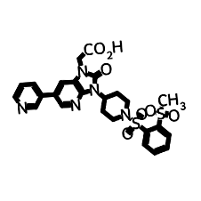 CS(=O)(=O)c1ccccc1S(=O)(=O)N1CCC(n2c(=O)n(CC(=O)O)c3cc(-c4cccnc4)cnc32)CC1